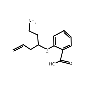 C=CCC(CCN)Nc1ccccc1C(=O)O